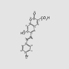 O=C(O)c1cc2cc(/N=N/c3ccc(Br)cc3)c(O)cc2oc1=O